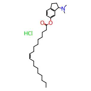 CCCCCCCC/C=C\CCCCCCCC(=O)Oc1ccc2c(c1)C(N(C)C)CC2.Cl